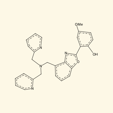 COc1ccc(O)c(-c2nc3c(CN(Cc4ccccn4)Cc4ccccn4)cccc3o2)c1